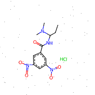 CCC(NC(=O)c1cc([N+](=O)[O-])cc([N+](=O)[O-])c1)N(C)C.Cl